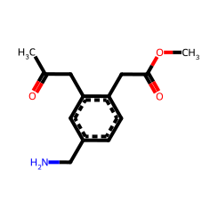 COC(=O)Cc1ccc(CN)cc1CC(C)=O